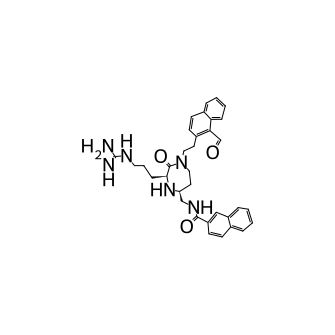 N=C(N)NCCC[C@@H]1N[C@H](CNC(=O)c2ccc3ccccc3c2)CCN(CCc2ccc3ccccc3c2C=O)C1=O